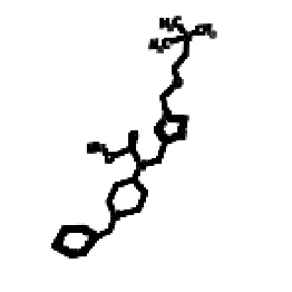 CC(C)(C)OC(=O)N(Cc1cn(COCC[Si](C)(C)C)cn1)C1CCN(Cc2ccccc2)CC1